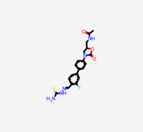 CC(=O)NCC1CN(c2ccc(-c3ccc(C=NNC(N)=S)c(F)c3)cc2)C(=O)O1